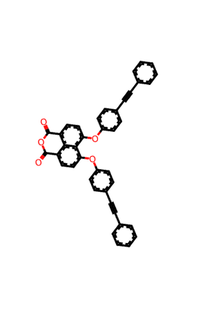 O=C1OC(=O)c2ccc(Oc3ccc(C#Cc4ccccc4)cc3)c3c(Oc4ccc(C#Cc5ccccc5)cc4)ccc1c23